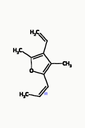 C=Cc1c(C)oc(/C=C\C)c1C